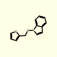 [c]1cc2ccccc2n1OCc1cccs1